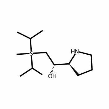 CC(C)S(C)(C[C@@H](O)[C@@H]1CCCN1)C(C)C